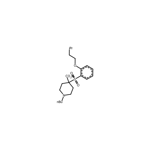 CCCCN1CCC(C(=O)O)(S(=O)(=O)c2ccccc2OCCC(C)C)CC1